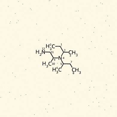 CCC(C)N(C(C)CC)C(C)CN